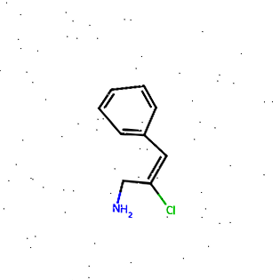 NC/C(Cl)=C\c1ccccc1